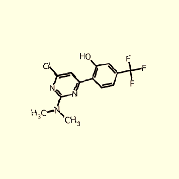 CN(C)c1nc(Cl)cc(-c2ccc(C(F)(F)F)cc2O)n1